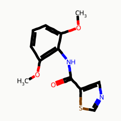 COc1cccc(OC)c1NC(=O)c1cncs1